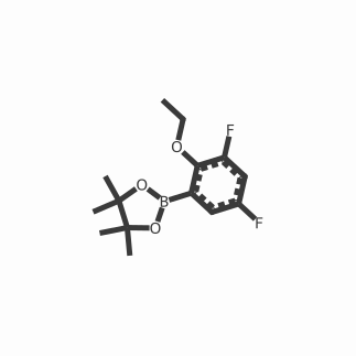 CCOc1c(F)cc(F)cc1B1OC(C)(C)C(C)(C)O1